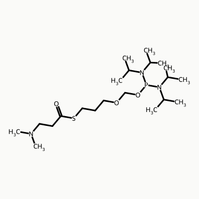 CC(C)N(C(C)C)P(OCOCCCSC(=O)CCN(C)C)N(C(C)C)C(C)C